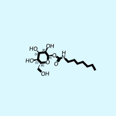 CCCCCCCNC(=O)O[C@H]1O[C@H](CO)[C@@H](O)[C@H](O)[C@H]1O